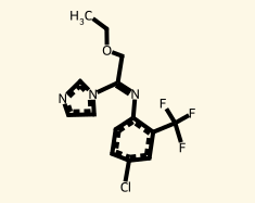 CCOCC(=Nc1ccc(Cl)cc1C(F)(F)F)n1ccnc1